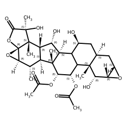 CC(=O)O[C@H]1C2C([C@@H]3[C@@H](O)[C@@H]4[C@H]([C@H](C)[C@H]5O[C@]56OC(=O)[C@@](C)(O)[C@]46C)[C@@]3(C)[C@H]1OC(C)=O)[C@@H](O)C[C@H]1C[C@@H]3O[C@@H]3[C@H](O)[C@]21C